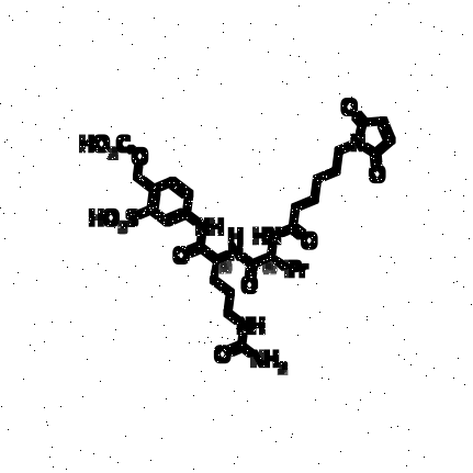 CC(C)[C@H](NC(=O)CCCCCN1C(=O)C=CC1=O)C(=O)N[C@@H](CCCNC(N)=O)C(=O)Nc1ccc(COC(=O)O)c(S(=O)(=O)O)c1